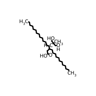 CC(C)(CO)CO.CCCCCCCCCCCCCCC(CCCCCCCCCCCC)CC(=O)O